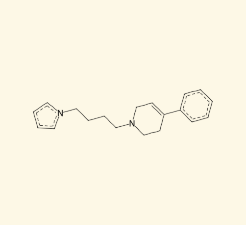 C1=C(c2ccccc2)CCN(CCCCn2cccc2)C1